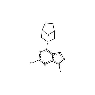 Cn1ncc2c(N3CC4CCC(C3)O4)nc(Cl)nc21